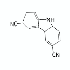 N#CC1=CC2C3=CC(C#N)CC=C3NC2C=C1